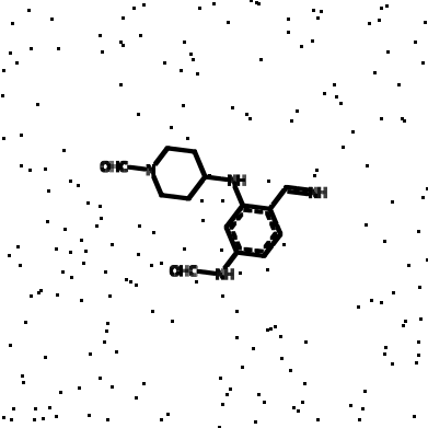 N=Cc1ccc(NC=O)cc1NC1CCN(C=O)CC1